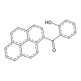 O=C(c1ccccc1O)c1ccc2ccc3cccc4ccc1c2c34